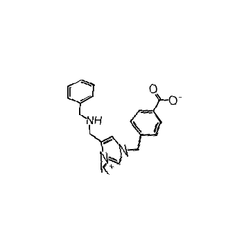 O=C([O-])c1ccc(Cn2cnc(CNCc3ccccc3)c2)cc1.[K+]